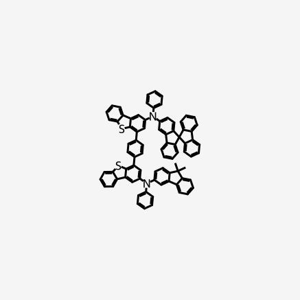 CC1(C)c2ccccc2-c2cc(N(c3ccccc3)c3cc(-c4ccc(-c5cc(N(c6ccccc6)c6ccc7c(c6)-c6ccccc6C76c7ccccc7-c7ccccc76)cc6c5sc5ccccc56)cc4)c4sc5ccccc5c4c3)ccc21